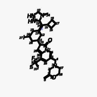 C=C1CN(CC2=CN3C(=O)C(C4C/C(=C(\C5CCC5)C5NNCN5C)CC(I)C4)C=C3C([C@@](C)(F)I)=C2)CCO1